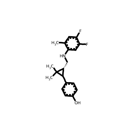 Cc1cc(F)c(F)cc1NC[C@@H]1C(c2ccc(O)cc2)C1(C)C